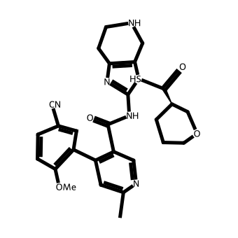 COc1ccc(C#N)cc1-c1cc(C)ncc1C(=O)NC1=NC2=C(CNCC2)[SH]1C(=O)[C@@H]1CCCOC1